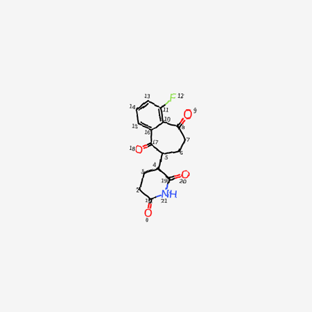 O=C1CCC(C2CCC(=O)c3c(F)cccc3C2=O)C(=O)N1